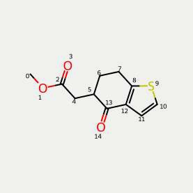 COC(=O)CC1CCc2sccc2C1=O